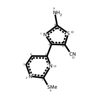 CSc1nccc(-c2nc(N)sc2C#N)n1